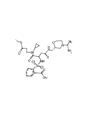 CCOC(=O)CCN(C(=O)C(CC(=O)NCC1CN(C(=N)N)CCO1)NS(=O)(=O)c1ccccc1C(=O)O)C1CC1